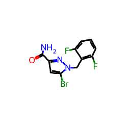 NC(=O)c1cc(Br)n(Cc2c(F)cccc2F)n1